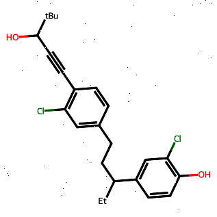 CCC(CCc1ccc(C#CC(O)C(C)(C)C)c(Cl)c1)c1ccc(O)c(Cl)c1